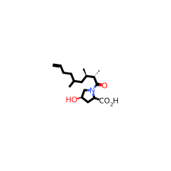 C=CCCC(C)C[C@@H](C)[C@H](C)C(=O)N1C[C@H](O)CC1C(=O)O